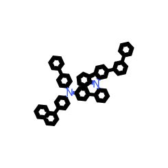 c1ccc(-c2ccc(N(c3ccc(-c4ccccc4-n4c5ccccc5c5ccc(-c6cccc(-c7ccccc7)c6)cc54)cc3)c3ccc(-c4cccc5ccccc45)cc3)cc2)cc1